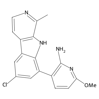 COc1ccc(-c2cc(Cl)cc3c2[nH]c2c(C)nccc23)c(N)n1